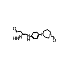 N=N/C(=C\Nc1ccc(N2CCCN(C=O)CC2)cc1)CC=O